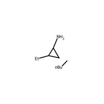 [CH2]CC1CC1N.[CH2]CCCC